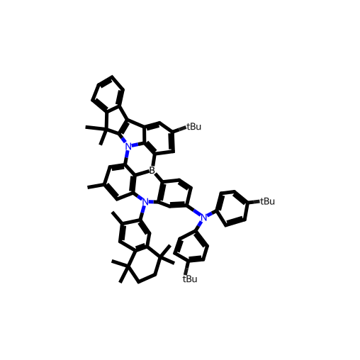 Cc1cc2c3c(c1)-n1c4c(c5cc(C(C)(C)C)cc(c51)B3c1ccc(N(c3ccc(C(C)(C)C)cc3)c3ccc(C(C)(C)C)cc3)cc1N2c1cc2c(cc1C)C(C)(C)CCC2(C)C)-c1ccccc1C4(C)C